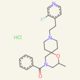 CC1CN(C(=O)c2ccccc2)CC2(CCN(CCc3ccncc3F)CC2)O1.Cl